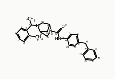 Cc1ccccc1C(C)N1CC2CC1CN2C(=O)Nc1ccc(Cc2ccccc2)cc1